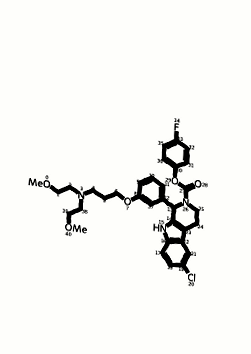 COCCN(CCCOc1cccc(C2c3[nH]c4ccc(Cl)cc4c3CCN2C(=O)Oc2ccc(F)cc2)c1)CCOC